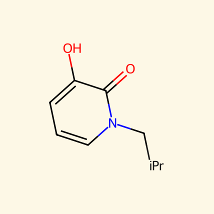 CC(C)Cn1cccc(O)c1=O